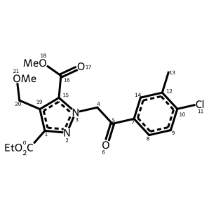 CCOC(=O)c1nn(CC(=O)c2ccc(Cl)c(C)c2)c(C(=O)OC)c1COC